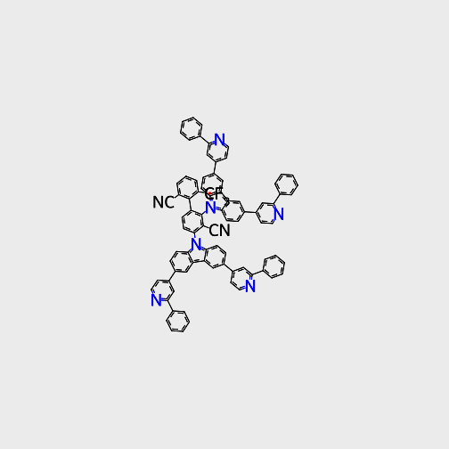 N#Cc1cccc(C(F)(F)F)c1-c1ccc(-n2c3ccc(-c4ccnc(-c5ccccc5)c4)cc3c3cc(-c4ccnc(-c5ccccc5)c4)ccc32)c(C#N)c1-n1c2ccc(-c3ccnc(-c4ccccc4)c3)cc2c2cc(-c3ccnc(-c4ccccc4)c3)ccc21